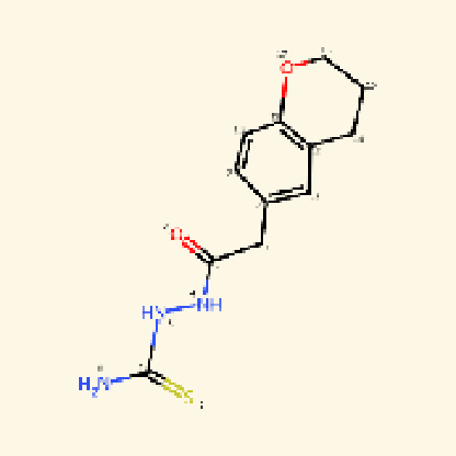 NC(=S)NNC(=O)Cc1ccc2c(c1)CCCO2